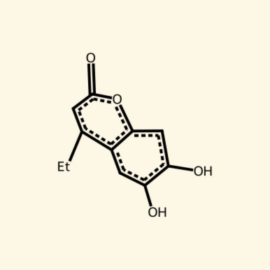 CCc1cc(=O)oc2cc(O)c(O)cc12